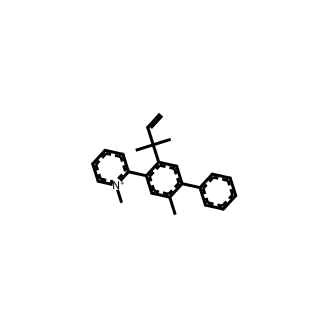 C=CC(C)(C)c1cc(-c2ccccc2)c(C)cc1-c1cccc[n+]1C